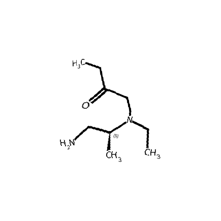 CCC(=O)CN(CC)[C@@H](C)CN